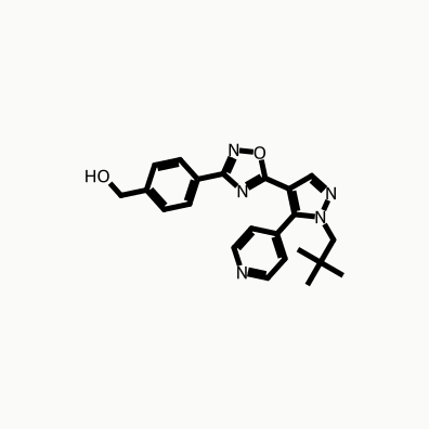 CC(C)(C)Cn1ncc(-c2nc(-c3ccc(CO)cc3)no2)c1-c1ccncc1